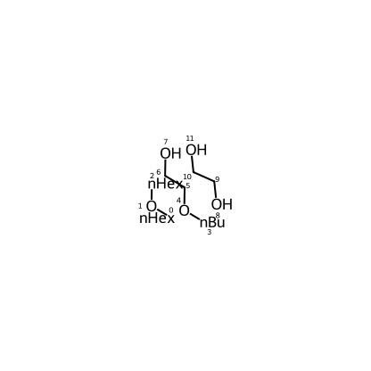 CCCCCCOCCCCCC.CCCCOCCO.OCCO